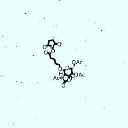 CC(=O)OC[C@H]1O[C@@H](OCCCCC(=O)ON2C(=O)CCC2=O)[C@H]2[C@@H](OC(=O)N2C(C)=O)[C@H]1OC(C)=O